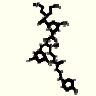 CCCN(CCC)C(=O)c1cc(C)cc(C(=O)N[C@@H](Cc2cc(F)cc(F)c2)[C@H](O)CCNC(=O)CCOc2ccc(Cl)cc2)c1